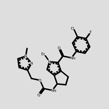 CCn1cc2c(c1C(=O)Nc1ccc(F)c(Cl)c1)CCC2NC(=O)OCc1ccn(C)n1